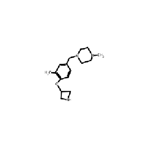 Cc1cc(CN2CCN(C)CC2)ccc1OC1CNC1